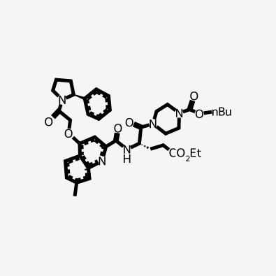 CCCCOC(=O)N1CCN(C(=O)[C@H](CCC(=O)OCC)NC(=O)c2cc(OCC(=O)N3CCC[C@H]3c3ccccc3)c3ccc(C)cc3n2)CC1